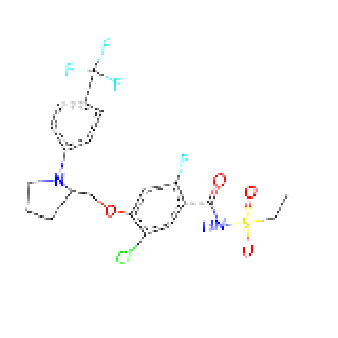 CCS(=O)(=O)NC(=O)c1cc(Cl)c(OCC2CCCN2c2ccc(C(F)(F)F)cc2)cc1F